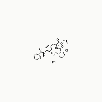 COC(=O)[C@H](Cc1ccc(NC(=O)c2ccccn2)cc1)NC(=O)c1c(C)cccc1Cl.Cl